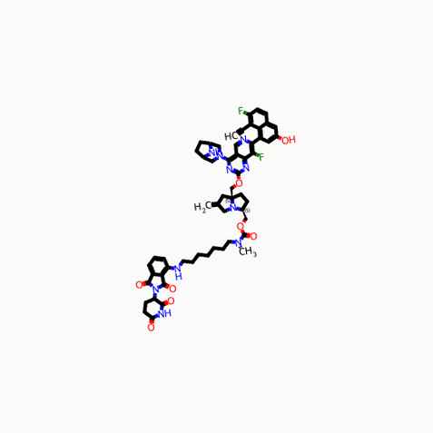 C#Cc1c(F)ccc2cc(O)cc(-c3ncc4c(N5CC6CCC(C5)N6)nc(OC[C@@]56CC[C@@H](COC(=O)N(C)CCCCCCCNc7cccc8c7C(=O)N(C7CCC(=O)NC7=O)C8=O)N5CC(=C)C6)nc4c3F)c12